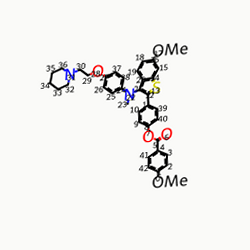 COc1ccc(C(=O)Oc2ccc(-c3sc4cc(OC)ccc4c3N(C)c3ccc(OCCN4CCCCC4)cc3)cc2)cc1